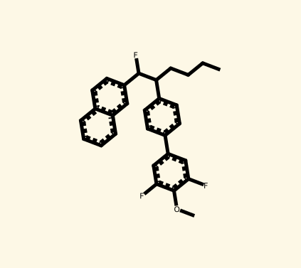 CCCCC(c1ccc(-c2cc(F)c(OC)c(F)c2)cc1)C(F)c1ccc2ccccc2c1